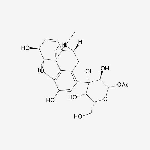 CC(=O)O[C@@H]1O[C@H](CO)[C@H](O)[C@@](O)(c2cc(O)c3c4c2C[C@@H]2[C@@H]5C=C[C@H](O)[C@H](O3)[C@]45CCN2C)[C@H]1O